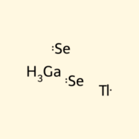 [GaH3].[Se].[Se].[Tl]